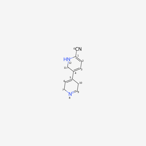 N#CC1=CC=C(C2=CCN=CC2)[C]N1